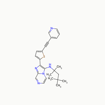 CC(C)(C)CC(C)(C)Nc1c(-c2ccc(C#Cc3cccnc3)s2)nc2cnccn12